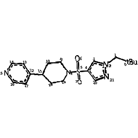 CC(C)(C)Cn1cc(S(=O)(=O)N2CCC(c3ccncc3)CC2)cn1